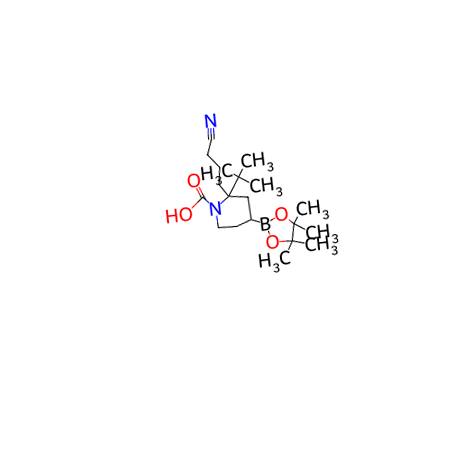 CC(C)(C)C1(CCCC#N)CC(B2OC(C)(C)C(C)(C)O2)CCN1C(=O)O